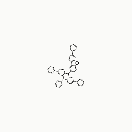 c1ccc(-c2ccc3c(c2)oc2ccc(-c4c5ccc(-c6ccccc6)cc5c(-c5ccccc5)c5ccc(-c6ccccc6)cc45)cc23)cc1